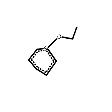 CCO[si]1ccccc1